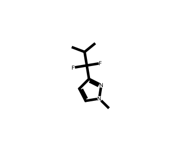 CC(C)C(F)(F)c1ccn(C)n1